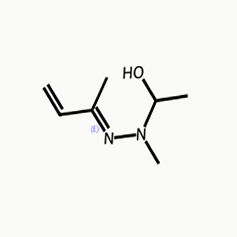 C=C/C(C)=N/N(C)C(C)O